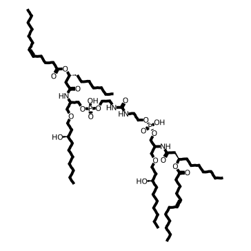 CCCCCC/C=C\CCCC(=O)O[C@H](CCCCCCC)CC(=O)NC(COCC[C@H](O)CCCCCCC)COP(=O)(O)OCCNC(=O)NCCOP(=O)(O)OCC(COCC[C@H](O)CCCCCCC)NC(=O)C[C@@H](CCCCCCC)OC(=O)CCC/C=C\CCCCCC